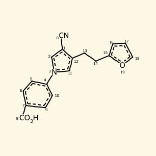 N#Cc1cn(-c2ccc(C(=O)O)cc2)cc1CCc1ccco1